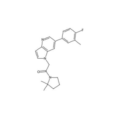 Cc1cc(-c2cnc3ccn(CC(=O)N4CCCC4(C)C)c3c2)ccc1F